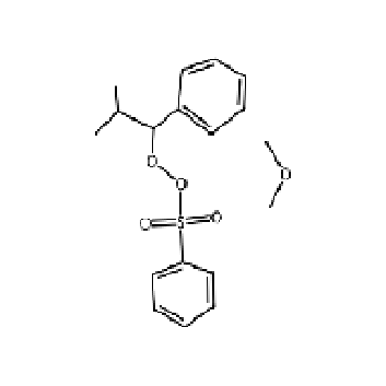 CC(C)C(OOS(=O)(=O)c1ccccc1)c1ccccc1.COC